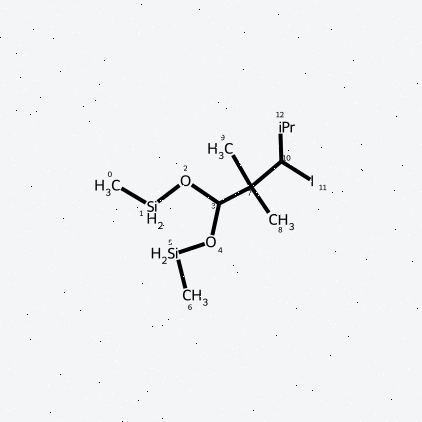 C[SiH2]OC(O[SiH2]C)C(C)(C)C(I)C(C)C